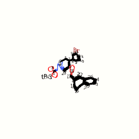 CC(C)(C)OC(=O)N1CCC(c2cccc(Br)c2)C(OCc2ccc3ccccc3c2)C1